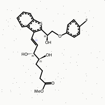 COC(=O)CCC[C@H](O)[C@H](O)/C=C/c1c([C@H](O)COc2ccc(F)cc2)sc2ccccc12